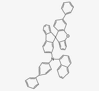 c1ccc(-c2ccc(N(c3ccc4c(c3)C3(c5ccccc5Oc5cc(-c6ccccc6)ccc53)c3ccccc3-4)c3cccc4ccccc34)cc2)cc1